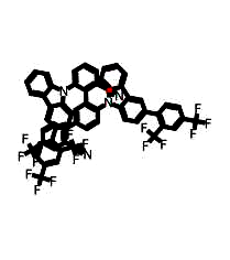 N#Cc1cc(C(F)(F)F)ccc1-c1ccc(-n2c3ccccc3c3cc(-c4ccc(C(F)(F)F)cc4C(F)(F)F)ccc32)c(-c2c(C#N)cccc2-n2c3ccccc3c3cc(-c4ccc(C(F)(F)F)cc4C(F)(F)F)ccc32)c1